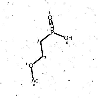 CC(=O)OCC[PH](=O)O